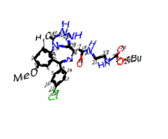 COc1ccc2c(c1)C(c1ccc(Cl)cc1)=N[C@@H](CC(=O)NCCNC(=O)OC(C)(C)C)C1NNC(C)N21